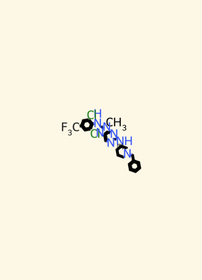 Cn1c(Nc2c(Cl)cc(C(F)(F)F)cc2Cl)nc2cnc(N[C@@H]3CCCN(Cc4ccccc4)C3)nc21